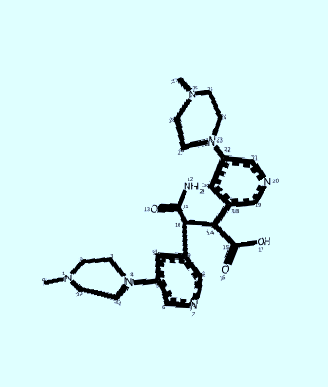 CN1CCN(c2cncc(C(C(N)=O)C(C(=O)O)c3cncc(N4CCN(C)CC4)c3)c2)CC1